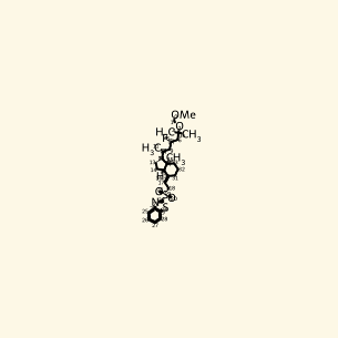 COCOC(C)(C)C[C@@H](F)C[C@@H](C)[C@H]1CC[C@H]2C(=CCS(=O)(=O)c3nc4ccccc4s3)CCC[C@]12C